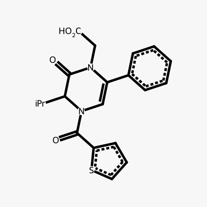 CC(C)C1C(=O)N(CC(=O)O)C(c2ccccc2)=CN1C(=O)c1cccs1